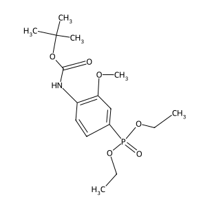 CCOP(=O)(OCC)c1ccc(NC(=O)OC(C)(C)C)c(OC)c1